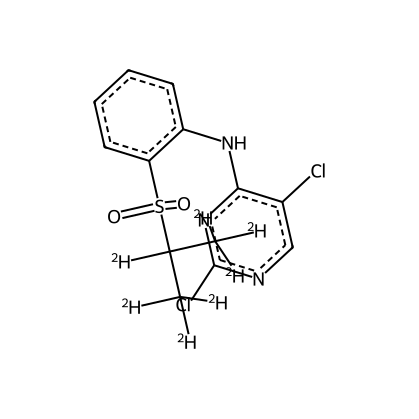 [2H]C([2H])([2H])C([2H])(C([2H])([2H])[2H])S(=O)(=O)c1ccccc1Nc1nc(Cl)ncc1Cl